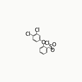 O=S(=O)(Cl)c1ccccc1Oc1ccc(Cl)c(Cl)c1